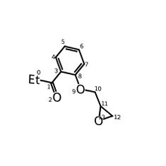 CCC(=O)c1ccccc1OCC1CO1